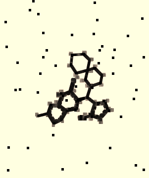 Cc1ccc2cc([C@H](c3nnnn3C(C)(C)C)N3CCCC4(CCCCC4)C3)c(=O)[nH]c2c1